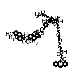 CC(C)[C@H](NC(=O)CCOCCOCCOCCOCCNC(=O)CCC(=O)N1Cc2ccccc2C#Cc2ccccc21)C(=O)N[C@@H](CCCNC(N)=O)C(=O)Nc1ccc(COC(=O)Nc2ccc3c(c2)[C@@]2(C)CCC[C@](C)(C(=O)NC(=O)[C@@]4(C)CCC[C@]5(C)c6cc(O)ccc6CC[C@@H]45)[C@@H]2CC3)cc1